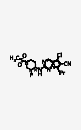 CC(C)c1c(C#N)c(Cl)c2cnc(N[C@@H]3CCN(S(C)(=O)=O)C[C@H]3F)nn12